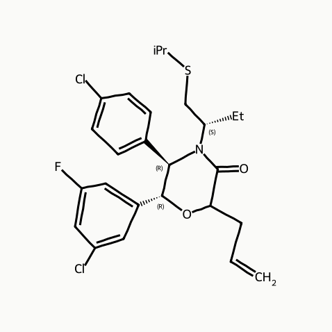 C=CCC1O[C@H](c2cc(F)cc(Cl)c2)[C@@H](c2ccc(Cl)cc2)N([C@@H](CC)CSC(C)C)C1=O